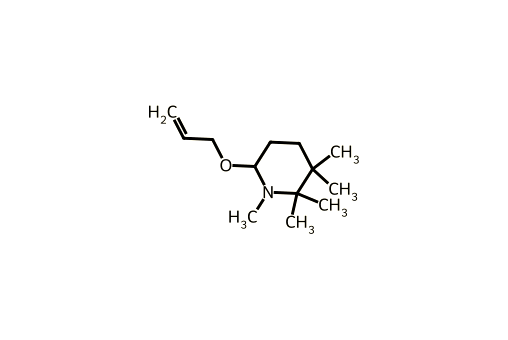 C=CCOC1CCC(C)(C)C(C)(C)N1C